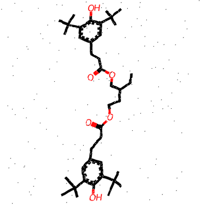 CCC(CCOC(=O)CCc1cc(C(C)(C)C)c(O)c(C(C)(C)C)c1)COC(=O)CCc1cc(C(C)(C)C)c(O)c(C(C)(C)C)c1